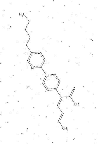 CC=CC=C(C(=O)O)c1ccc(-c2ccc(CCCCC)cn2)cc1